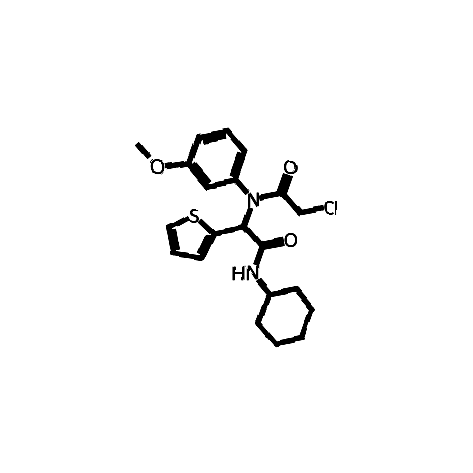 COc1cccc(N(C(=O)CCl)C(C(=O)NC2CCCCC2)c2cccs2)c1